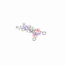 CC(C)Nc1ccn([C@@H]2O[C@H](COP(=O)(NC(C)C(=O)OCc3ccccc3)Oc3ccccc3)[C@@H](O)C2(F)F)c(=O)n1